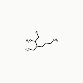 CCCCC(CC)C(C)C[S]